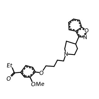 CCC(=O)c1ccc(OCCCCN2CCC(c3noc4ccccc34)CC2)c(OC)c1